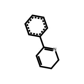 C1=CC(c2ccccc2)=NCC1